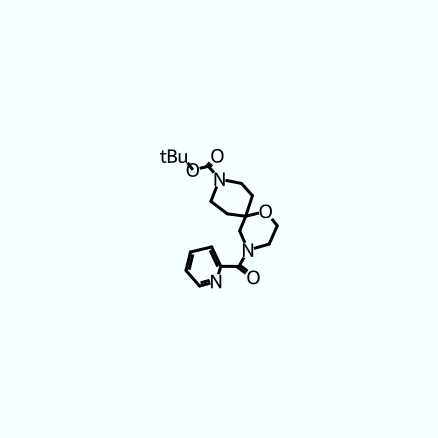 CC(C)(C)OC(=O)N1CCC2(CC1)CN(C(=O)c1ccccn1)CCO2